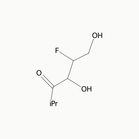 CC(C)C(=O)C(O)C(F)CO